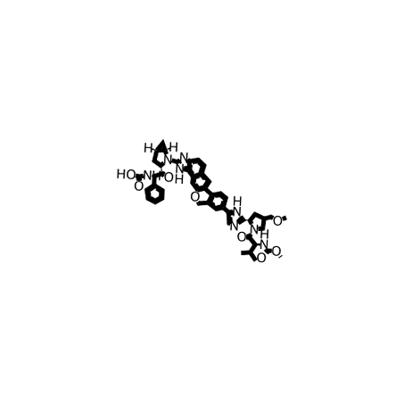 COCC1C[C@@H](c2ncc(-c3ccc4c(c3)COc3cc5c(ccc6nc(N7[C@@H]8C[C@@H]8C[C@H]7C(=O)[C@H](NC(=O)O)c7ccccc7)[nH]c65)cc3-4)[nH]2)N(C(=O)[C@@H](NC(=O)OC)C(C)C)C1